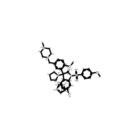 COc1ccc(S(=O)(=O)N2C(=O)C(c3cc(CN4CCN(C)CC4)ccc3OC)(N3CCC[C@H]3c3ncco3)c3ccc(Cl)cc32)cc1